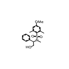 COc1cc(C)c(S(=O)(=O)N(C)C(CO)c2ccccc2)c(C)c1